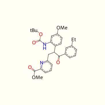 CCc1cccc(C(=O)C(Cc2cccc(C(=O)OC)n2)c2ccc(OC)cc2NC(=O)OC(C)(C)C)c1